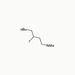 CCCCCC(I)CCNC